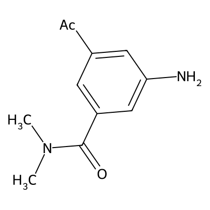 CC(=O)c1cc(N)cc(C(=O)N(C)C)c1